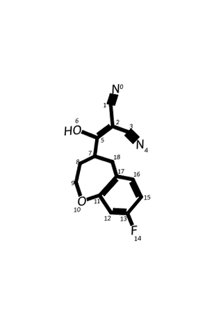 N#CC(C#N)=C(O)C1CCOc2cc(F)ccc2C1